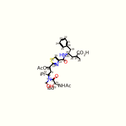 CC[C@H](C)[C@H](NC(C)=O)C(=O)N(CO)[C@H](C[C@@H](OC(C)=O)c1nc(C(=O)N[C@@H](Cc2ccccc2)C[C@H](C)C(=O)O)cs1)C(C)C